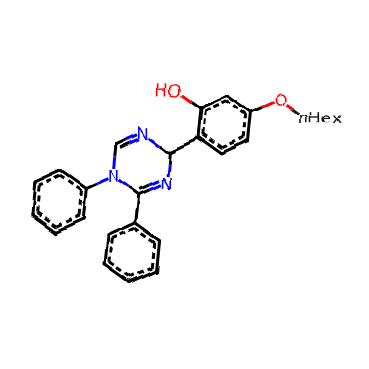 CCCCCCOc1ccc(C2N=CN(c3ccccc3)C(c3ccccc3)=N2)c(O)c1